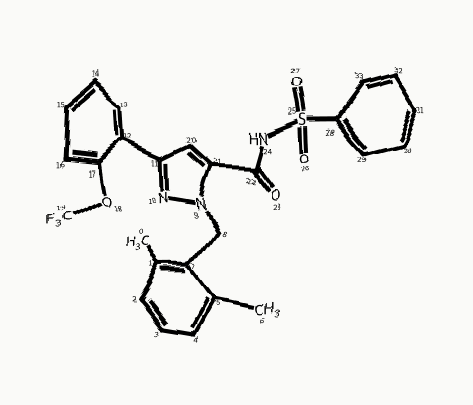 Cc1cccc(C)c1Cn1nc(-c2ccccc2OC(F)(F)F)cc1C(=O)NS(=O)(=O)c1ccccc1